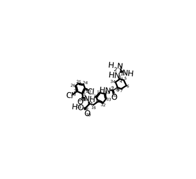 N=C(N)N[C@H]1CCC[C@@H](C(=O)Nc2ccc(C[C@H](NC(=O)c3c(Cl)cccc3Cl)C(=O)O)cc2)C1